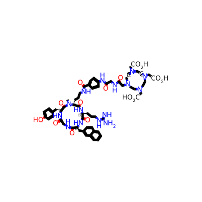 CN1C(=O)[C@@H](Cc2ccc(O)cc2)NC(=O)CNC(=O)[C@H](Cc2ccc3ccccc3c2)NC(=O)[C@H](CCCNC(=N)N)NC(=O)[C@H]1CCCNC(=O)c1ccc(NC(=O)CNC(=O)CN2CCN(CC(=O)O)CCN(CC(=O)O)CCN(CC(=O)O)CC2)cc1